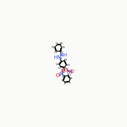 O=[N+]([O-])c1ccccc1[N+](=O)[O-].c1ccc(NNc2ccccc2)cc1